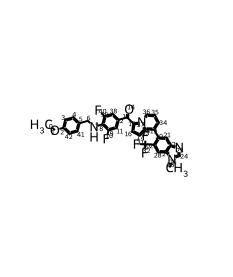 COc1ccc(CNc2c(F)cc(C(=O)c3ccc4c(-c5cc6ncn(C)c6cc5C(F)(F)F)cccn34)cc2F)cc1